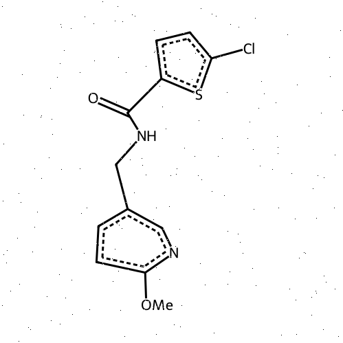 COc1ccc(CNC(=O)c2ccc(Cl)s2)cn1